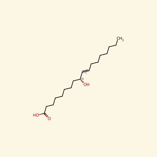 CCCCCCC/C=C/[C@@H](O)CCCCCCCC(=O)O